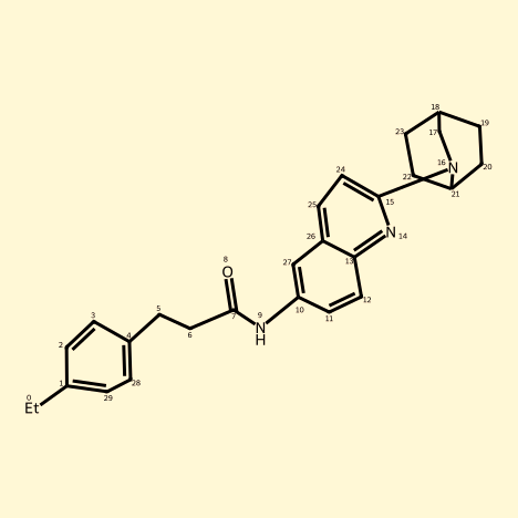 CCc1ccc(CCC(=O)Nc2ccc3nc(N4CC5CCC4CC5)ccc3c2)cc1